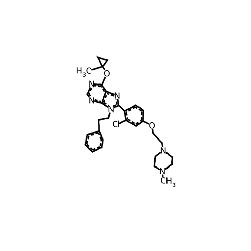 CN1CCN(CCOc2ccc(-c3nc4c(OC5(C)CC5)ncnc4n3CCc3ccccc3)c(Cl)c2)CC1